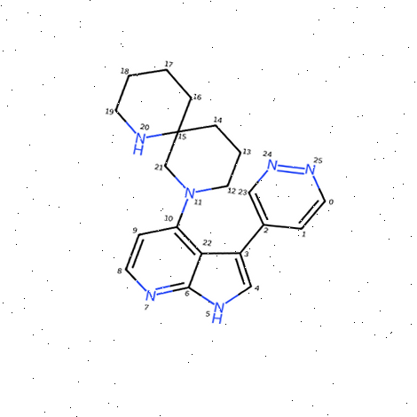 c1cc(-c2c[nH]c3nccc(N4CCCC5(CCCCN5)C4)c23)cnn1